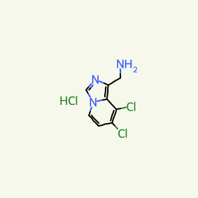 Cl.NCc1ncn2ccc(Cl)c(Cl)c12